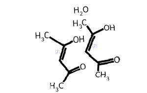 CC(=O)/C=C(/C)O.CC(=O)/C=C(/C)O.O